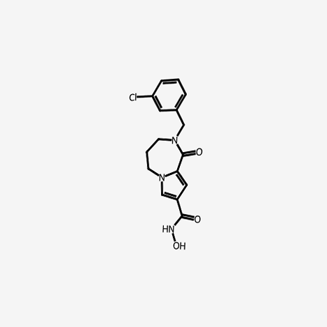 O=C(NO)c1cc2n(c1)CCCN(Cc1cccc(Cl)c1)C2=O